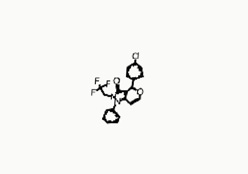 O=c1c2c(n(-c3ccccc3)n1CC(F)(F)F)C=COC2c1ccc(Cl)cc1